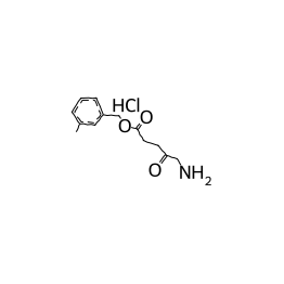 Cc1cccc(COC(=O)CCC(=O)CN)c1.Cl